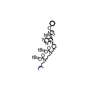 C/C=C(\C)CCN(CCCN(C[C@@H]1CC[C@H](n2cc(-c3nc(Oc4ccccc4)cs3)c3c(N)ncnc32)C1)C(=O)OC(C)(C)C)C(=O)OC(C)(C)C